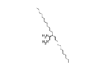 CCCCCCCCCCCCC(CCCCCCCCCCCC)=C(N)CN